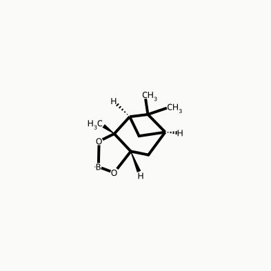 CC1(C)[C@H]2C[C@@H]3O[B]O[C@]3(C)[C@@H]1C2